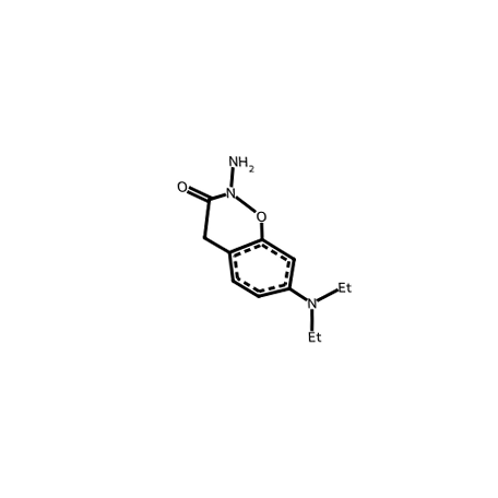 CCN(CC)c1ccc2c(c1)ON(N)C(=O)C2